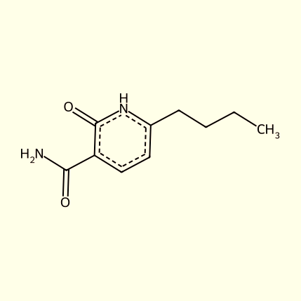 CCCCc1ccc(C(N)=O)c(=O)[nH]1